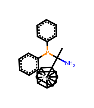 CC(N)(P(c1ccccc1)c1ccccc1)[C]12[CH]3[CH]4[CH]5[CH]1[Fe]45321678[CH]2[CH]1[CH]6[CH]7[CH]28